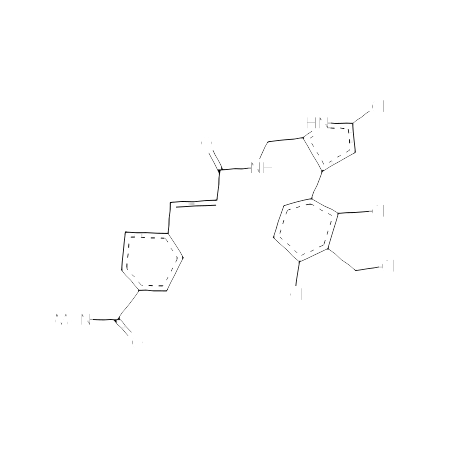 CNC(=O)c1ccc(C=CC(=O)NCc2[nH]c(Cl)cc2-c2ccc(Cl)c(CCl)c2Cl)cc1